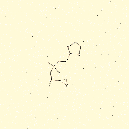 CC(CC(C)(C)CCC1OCCO1)C1CO1